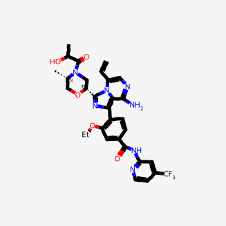 C=Cc1cnc(N)c2c(-c3ccc(C(=O)Nc4cc(C(F)(F)F)ccn4)cc3OCC)nc([C@H]3CN(C(=O)C(C)O)[C@@H](C)CO3)n12